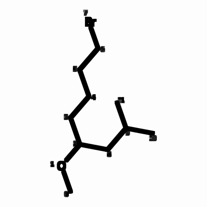 COC(CCCCBr)CC(C)C